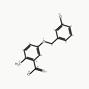 Cc1ccc(OCc2cccc(Cl)c2)cc1C(=O)Cl